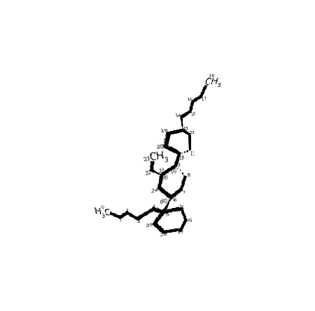 CCCCCC1([C@@H]2CC[C@@H]([C@H]3CC[C@H](CCCCC)CC3)[C@H](CC)C2)CCCCC1